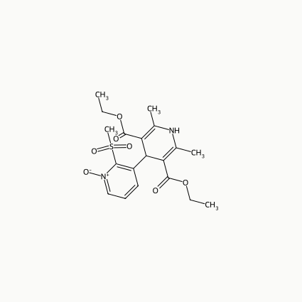 CCOC(=O)C1=C(C)NC(C)=C(C(=O)OCC)C1c1ccc[n+]([O-])c1S(C)(=O)=O